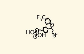 CN(C)CCC(Oc1ccc(C(F)(F)F)cc1)c1ccc(F)cc1.O=C(O)C(=O)O